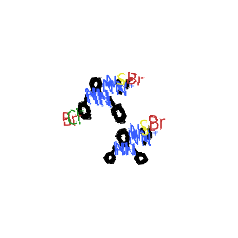 C[n+]1cc(Br)sc1N=Nc1cccc(NCc2ccccc2)c1NCc1ccccc1.C[n+]1cc(Br)sc1N=Nc1cccc(NCc2ccccc2)c1NCc1ccccc1.[Br-].[Cl-]